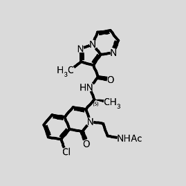 CC(=O)NCCn1c([C@H](C)NC(=O)c2c(C)nn3cccnc23)cc2cccc(Cl)c2c1=O